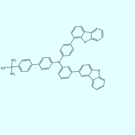 C[Si](C)(C)c1ccc(-c2ccc(N(c3ccc(-c4cccc5c4oc4ccccc45)cc3)c3cccc(-c4ccc5oc6ccccc6c5c4)c3)cc2)cc1